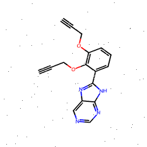 C#CCOc1cccc(-c2nc3cncnc3[nH]2)c1OCC#C